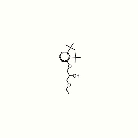 CCOCC(O)COc1cc[c]c(C(C)(C)C)c1C(C)(C)C